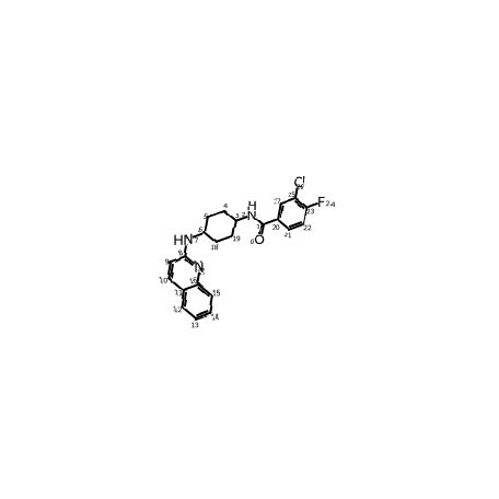 O=C(NC1CCC(Nc2ccc3ccccc3n2)CC1)c1ccc(F)c(Cl)c1